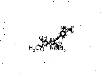 C=CC(=O)N1C[C@@H](n2nc(C#Cc3cc4ncn(C5CC5)c4cc3F)c(C(N)=O)c2NC)C[C@@H]1CO